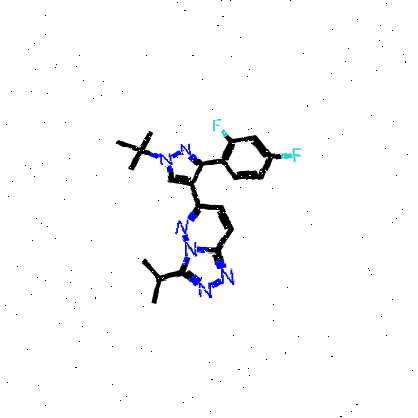 CC(C)c1nnc2ccc(-c3cn(C(C)(C)C)nc3-c3ccc(F)cc3F)nn12